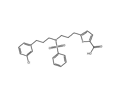 O=C(O)c1ccc(CCCN(CCCc2cccc(Cl)c2)S(=O)(=O)c2ccccc2)s1